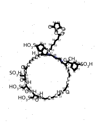 CC1(C)C2=[N+](CCCCCC(=O)NCCCCCNC(=O)C(CS(=O)(=O)O)NC(=O)C(CS(=O)(=O)O)NC(=O)C(CS(=O)(=O)O)NC(=O)CCCCCC3(C)/C(=C/C=C/C=C/2)N(CCCCCC(=O)ON2C(=O)CCC2=O)c2ccc(S(=O)(=O)O)cc23)c2ccc(S(=O)(=O)O)cc21